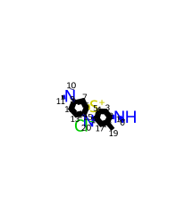 CNc1cc2[s+]c3cc(N(C)C)ccc3nc2cc1C.[Cl-]